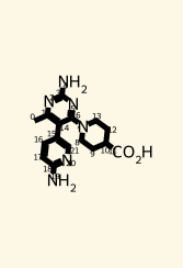 Cc1nc(N)nc(N2CCC(C(=O)O)CC2)c1-c1ccc(N)nc1